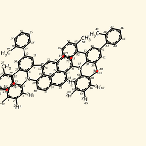 [2H]c1c([2H])c([2H])c(N(c2c(F)cc(-c3ccccc3C)cc2-c2ccccc2C)c2ccc3ccc4c(N(c5c(F)cc(-c6ccccc6C)cc5-c5ccccc5C)c5c([2H])c([2H])c([2H])c([2H])c5[2H])ccc5ccc2c3c54)c([2H])c1[2H]